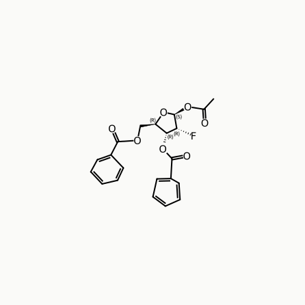 CC(=O)O[C@@H]1O[C@H](COC(=O)c2ccccc2)[C@@H](OC(=O)c2ccccc2)[C@H]1F